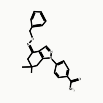 CC1(C)C/C(=N/OCc2ccccc2)c2cnn(-c3ccc(C(N)=O)cc3)c2C1